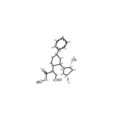 CC(C)(C)OC(=O)N(CC=O)C1CCC(c2ccccn2)CC1N1C[C@@H](F)C[C@H]1C#N